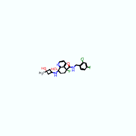 CC1(O)CC(N[C@]2(O)CC[C@@](F)(C(=O)NCc3ccc(F)cc3Cl)c3cccnc32)C1